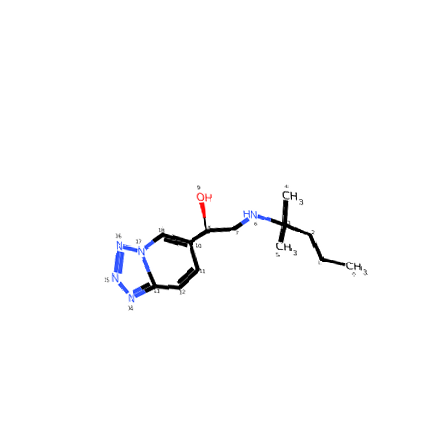 CCCC(C)(C)NC[C@H](O)c1ccc2nnnn2c1